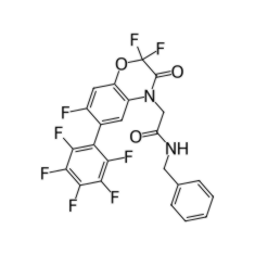 O=C(CN1C(=O)C(F)(F)Oc2cc(F)c(-c3c(F)c(F)c(F)c(F)c3F)cc21)NCc1ccccc1